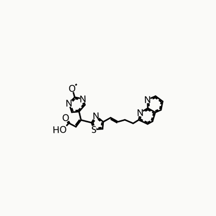 COc1ncc(/C(=C\C(=O)O)c2nc(/C=C/CCc3ccc4cccnc4n3)cs2)cn1